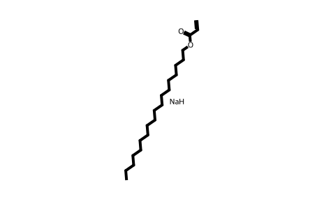 C=CC(=O)OCCCCCCCCCCCCCCCCCC.[NaH]